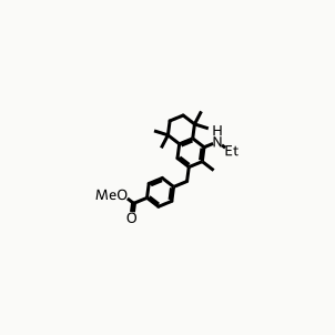 CCNc1c(C)c(Cc2ccc(C(=O)OC)cc2)cc2c1C(C)(C)CCC2(C)C